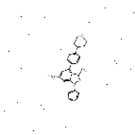 CCOC(=O)c1cc(-c2ccc(N3CCNCC3)cc2)c2c(C)nn(-c3ccccc3)c2n1